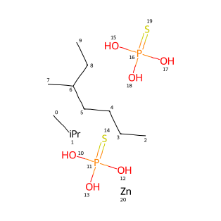 CC(C)C.CCCCC(C)CC.OP(O)(O)=S.OP(O)(O)=S.[Zn]